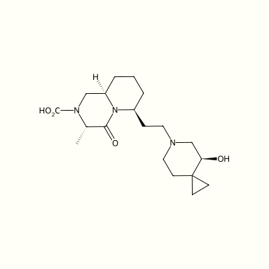 C[C@H]1C(=O)N2[C@H](CCN3CCC4(CC4)[C@H](O)C3)CCC[C@@H]2CN1C(=O)O